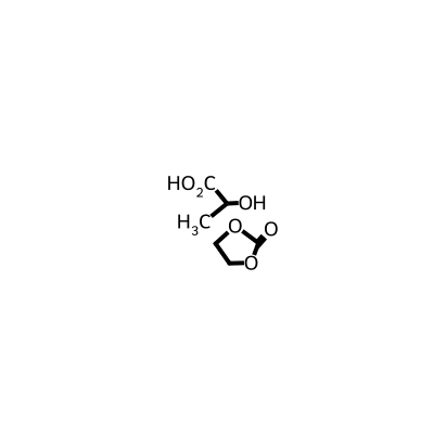 CC(O)C(=O)O.O=C1OCCO1